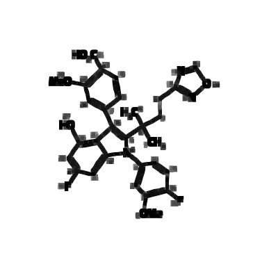 COc1cc(-n2c(C(C)(C)CCc3ncon3)c(-c3ccc(C(=O)O)c(OC)c3)c3c(O)cc(F)cc32)ccc1F